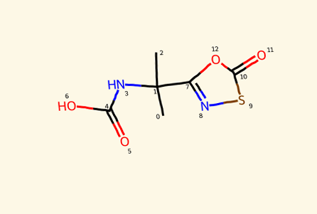 CC(C)(NC(=O)O)c1nsc(=O)o1